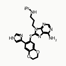 CC(C)NCCCn1c(Sc2cc3c(cc2-c2c[nH]cn2)OCCO3)nc2c(N)ncnc21